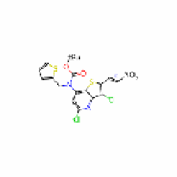 CC(C)(C)OC(=O)N(Cc1cccs1)c1cc(Cl)nc2c(Cl)c(/C=C/[N+](=O)[O-])sc12